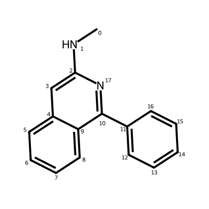 CNc1cc2ccccc2c(-c2ccccc2)n1